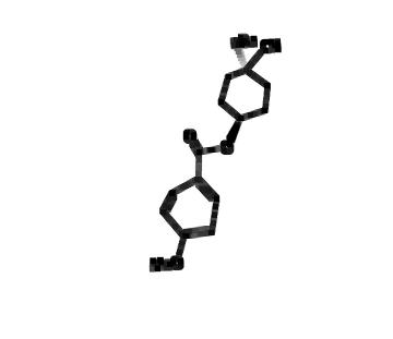 CCCC[C@]1(C#N)CC[C@@H](OC(=O)c2ccc(OC)cc2)CC1